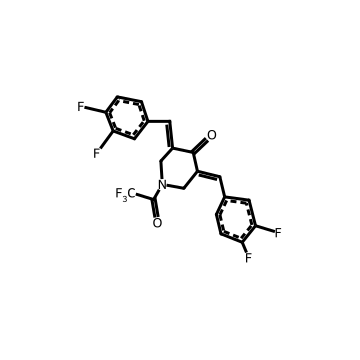 O=C1/C(=C/c2ccc(F)c(F)c2)CN(C(=O)C(F)(F)F)C/C1=C\c1ccc(F)c(F)c1